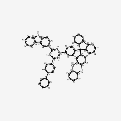 c1ccc(-c2ccc(-c3nc(-c4ccc(C5(c6ccc7c(c6)Oc6ccccc6O7)c6ccccc6-c6ccccc65)cc4)nc(-c4ccc5oc6ccccc6c5c4)n3)cc2)cc1